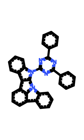 c1ccc(-c2nc(-c3ccccc3)nc(-n3c4ccccc4c4c5cccc6c7ccccc7n(c65)c43)n2)cc1